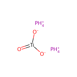 [O]=[Ti]([O-])[O-].[PH4+].[PH4+]